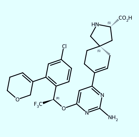 Nc1nc(O[C@H](c2ccc(Cl)cc2C2=CCCOC2)C(F)(F)F)cc(C2=CC[C@]3(CC2)CN[C@H](C(=O)O)C3)n1